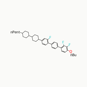 CCCCCC1CCC(C2CCC(c3ccc(-c4ccc(-c5ccc(OCCCC)c(F)c5F)cc4)c(F)c3)CC2)CC1